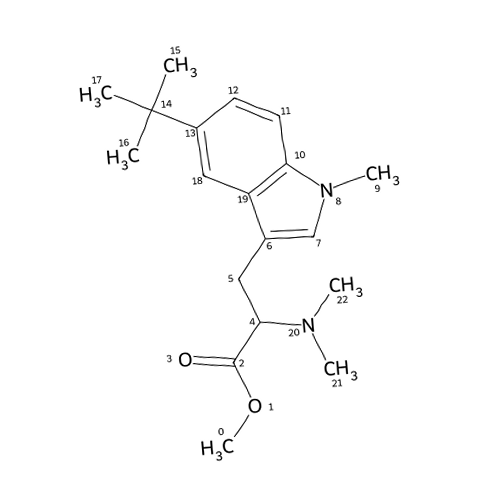 COC(=O)C(Cc1cn(C)c2ccc(C(C)(C)C)cc12)N(C)C